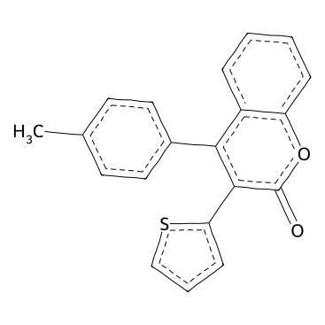 Cc1ccc(-c2c(-c3cccs3)c(=O)oc3ccccc23)cc1